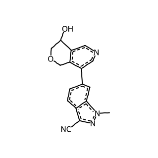 Cn1nc(C#N)c2ccc(-c3cncc4c3COCC4O)cc21